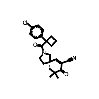 CC1(C)C[C@]2(C=C(C#N)C1=O)CCN(C(=O)C1(c3ccc(Cl)cc3)CCC1)C2